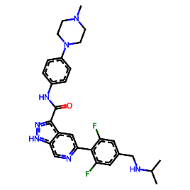 CC(C)NCc1cc(F)c(-c2cc3c(C(=O)Nc4ccc(N5CCN(C)CC5)cc4)n[nH]c3cn2)c(F)c1